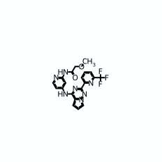 COCC(=O)Nc1cc(Nc2nc(-c3cccc(C(F)(F)F)n3)nn3cccc23)ccn1